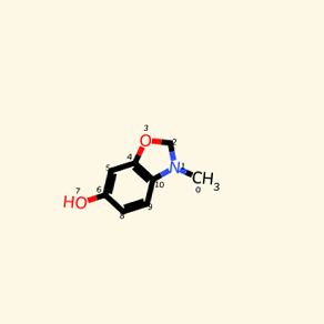 CN1COc2cc(O)ccc21